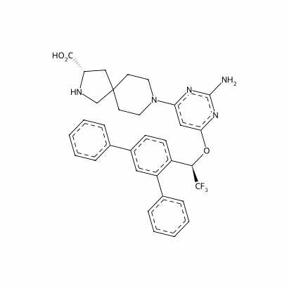 Nc1nc(O[C@H](c2ccc(-c3ccccc3)cc2-c2ccccc2)C(F)(F)F)cc(N2CCC3(CC2)CN[C@H](C(=O)O)C3)n1